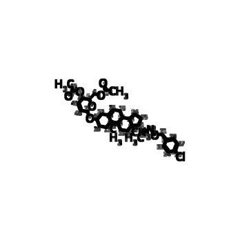 CC(=O)OC[C@H]1OC(OC2CC[C@@]3(C)C(=CCC4C3CC[C@@]3(C)C4CC[C@@H]3/C(C)=N/OCc3ccc(Cl)cc3)C2)C=C[C@@H]1OC(C)=O